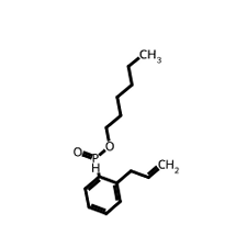 C=CCc1ccccc1[PH](=O)OCCCCCC